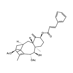 C=C1[C@@H](OC(=O)/C=C/c2ccccc2)CC[C@]2(C)[C@@H]1C[C@@H]1C[C@H](OC(C)=O)C(C)=C([C@@H](OC(C)=O)[C@@H]2O)C1(C)C